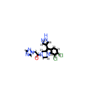 O=C(Cn1cncn1)N1CCn2c(c(-c3cn[nH]c3)c3ccc(Cl)c(Cl)c32)C1